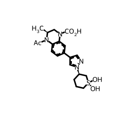 CC(=O)N1c2ccc(-c3cnn([C@@H]4CCCS(O)(O)C4)c3)cc2N(C(=O)O)C[C@@H]1C